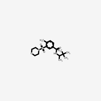 Cc1ccc(C(=O)NC(C)C(C)(C)C)cc1S(=O)(=O)N1CCOCC1